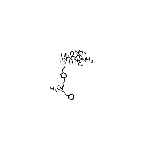 CN(CCCc1ccccc1)CCCc1ccc(CCCCNC(=N)NC(=O)c2nc(Cl)c(N)nc2N)cc1